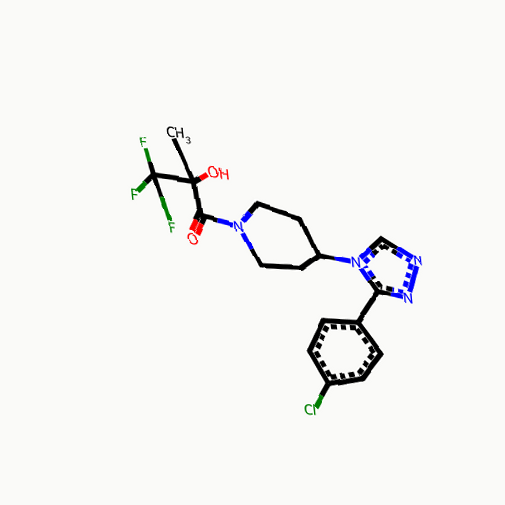 CC(O)(C(=O)N1CCC(n2cnnc2-c2ccc(Cl)cc2)CC1)C(F)(F)F